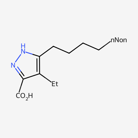 CCCCCCCCCCCCCc1[nH]nc(C(=O)O)c1CC